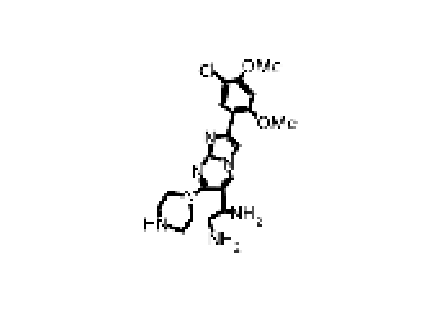 COc1cc(OC)c(-c2cn3cc(C(N)CN)c(N4CCNCC4)nc3n2)cc1Cl